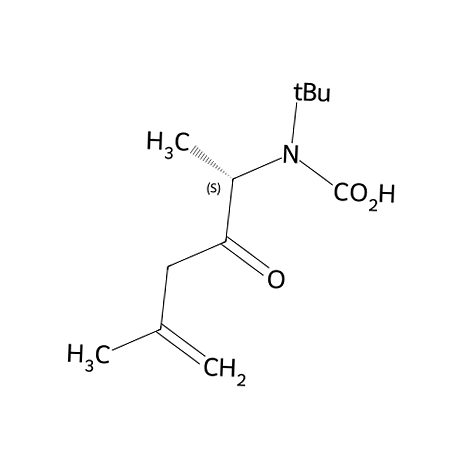 C=C(C)CC(=O)[C@H](C)N(C(=O)O)C(C)(C)C